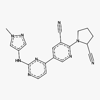 Cn1cc(Nc2nccc(-c3cnc(N4CCCC4C#N)c(C#N)c3)n2)cn1